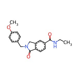 CCNC(=O)c1ccc2c(c1)CN(Cc1ccc(OC)cc1)C2=O